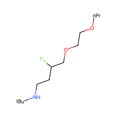 CCCOCCOCC(F)CCNC(C)(C)C